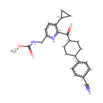 COC(=O)NCc1ccc(C2CC2)c(C(=O)C2CCC(c3ccc(C#N)cc3)CC2)n1